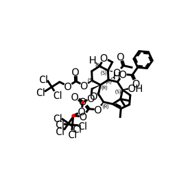 CC(=O)O[C@@]12CO[C@@H]1C[C@H](OC(=O)OCC(Cl)(Cl)Cl)[C@@]1(COC(=O)OCC(Cl)(Cl)Cl)C(=O)[C@H](OC(=O)OCC(Cl)(Cl)Cl)C3=C(C)CC[C@@](O)(C(OC(=O)c4ccccc4)[C@H]21)C3(C)C